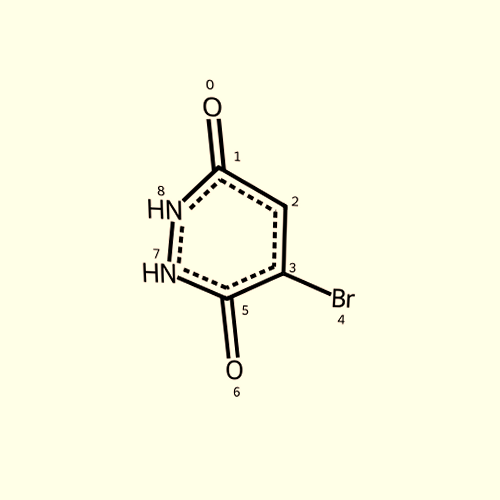 O=c1cc(Br)c(=O)[nH][nH]1